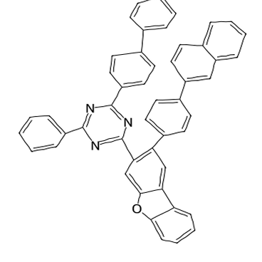 c1ccc(-c2ccc(-c3nc(-c4ccccc4)nc(-c4cc5oc6ccccc6c5cc4-c4ccc(-c5ccc6ccccc6c5)cc4)n3)cc2)cc1